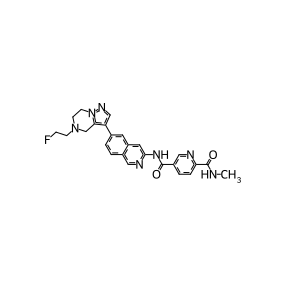 CNC(=O)c1ccc(C(=O)Nc2cc3cc(-c4cnn5c4CN(CCF)CC5)ccc3cn2)cn1